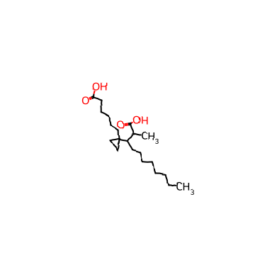 CCCCCCCCC(C(C)C(=O)O)C1(CCCCCC(=O)O)CC1